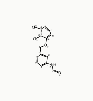 O=CNc1cccc(COc2cccc(Cl)c2Cl)c1